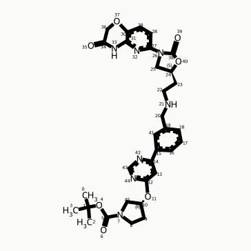 CC(C)(C)OC(=O)N1CC[C@@H](Oc2cc(-c3cccc(CNCC[C@H]4CN(c5ccc6c(n5)NC(=O)CO6)C(=O)O4)c3)ncn2)C1